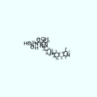 Cc1cncc(Cc2ccc(N3CCC(Cc4nc(C)c(O)c(C(=O)NCC(=O)O)n4)CC3)cc2)c1